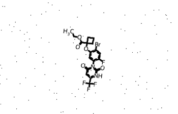 CCOC(=O)C1(Oc2cc(-n3c(=O)cc(C(F)(F)F)[nH]c3=O)c(F)cc2Br)CCC1